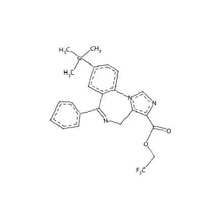 C[Si](C)(C)c1ccc2c(c1)C(c1ccccc1)=NCc1c(C(=O)OCC(F)(F)F)ncn1-2